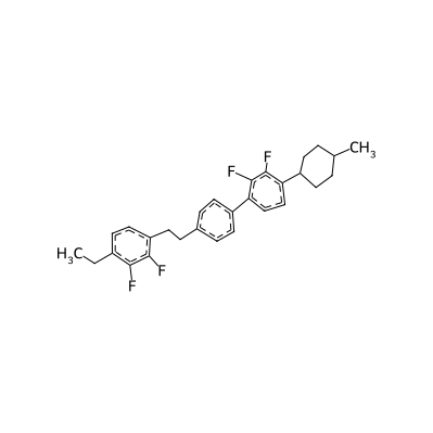 CCc1ccc(CCc2ccc(-c3ccc(C4CCC(C)CC4)c(F)c3F)cc2)c(F)c1F